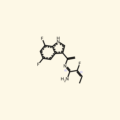 C=C(/N=C(N)\C(F)=C/C)c1c[nH]c2c(F)cc(F)cc12